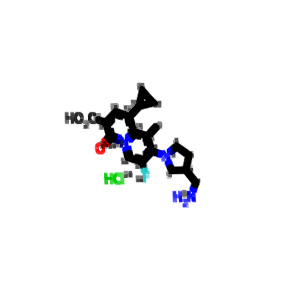 Cc1c(N2CCC(CN)C2)c(F)cn2c(=O)c(C(=O)O)cc(C3CC3)c12.Cl